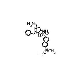 CN(C)c1ccc2cc(S(=O)(=O)NC(CCCN)C(=O)NCc3ccccc3)ccc2c1